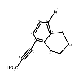 O=C(O)C#Cc1ccc(Br)c2c1CCCC2